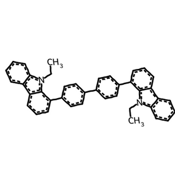 CCn1c2ccccc2c2cccc(-c3ccc(-c4ccc(-c5cccc6c7ccccc7n(CC)c56)cc4)cc3)c21